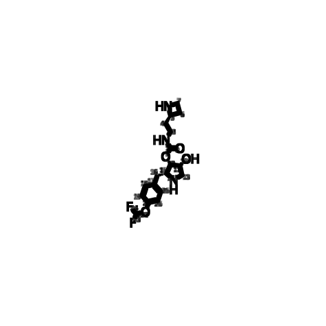 O=C(NCC[C@@H]1CCN1)O[C@@H]1[C@@H](O)CN[C@@H]1Cc1ccc(OC(F)F)cc1